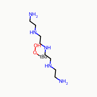 CC(C)(C)OO.NCCNCCNCCNCCN